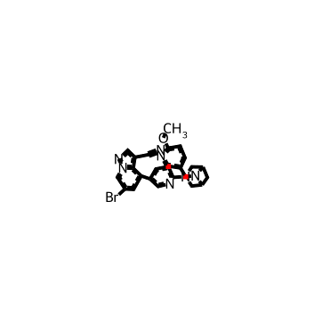 COc1ccc(CN2C3CC2CN(c2ccc(-c4cc(Br)cn5ncc(C#N)c45)cn2)C3)cn1